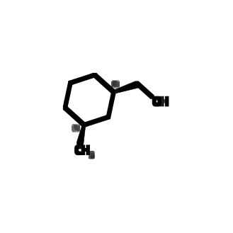 C[C@H]1CCC[C@@H](CO)C1